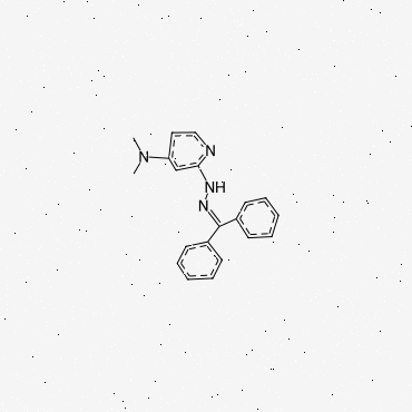 CN(C)c1ccnc(NN=C(c2ccccc2)c2ccccc2)c1